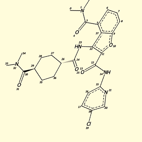 CN(C)C(=O)c1cccc2oc(C(=O)Nc3ccc(Cl)cn3)c(NC(=O)[C@H]3CC[C@H](C(=O)N(C)C)CC3)c12